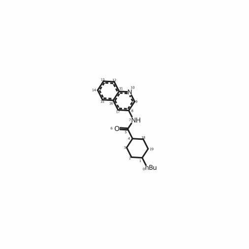 CCCCC1CCC(C(=O)Nc2cnc3ccccc3c2)CC1